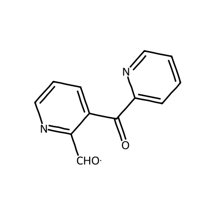 O=[C]c1ncccc1C(=O)c1ccccn1